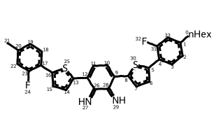 CCCCCCc1ccc(-c2ccc(C3=CC=C(c4ccc(-c5ccc(C)cc5F)s4)C(=N)C3=N)s2)c(F)c1